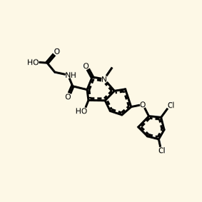 Cn1c(=O)c(C(=O)NCC(=O)O)c(O)c2ccc(Oc3ccc(Cl)cc3Cl)cc21